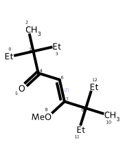 CCC(C)(CC)C(=O)/C=C(\OC)C(C)(CC)CC